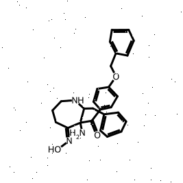 NC1(C(=O)c2ccc(OCc3ccccc3)cc2)C(=NO)CCCNC1Cc1ccccc1